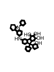 Oc1c(O)c(O)c2c(c1O)-c1cc(Nc3ccc4c(c3)c3c(n4-c4ccccc4)CCC=C3)ccc1C2(c1ccccc1)c1ccccc1